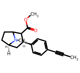 CC#Cc1ccc([C@H]2C[C@H]3CCC(C2C(=O)OC)N3C)cc1